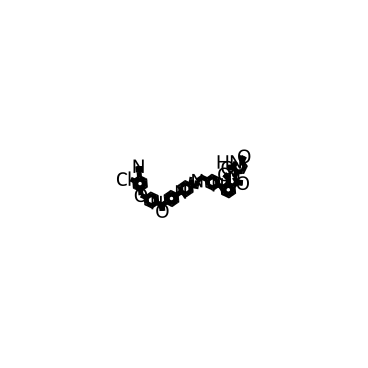 N#Cc1ccc(OC2CCN(C(=O)c3ccc(N4CCC5(CC4)CN(CC4CCN(c6cccc7c6C(=O)N(C6CCC(=O)NC6=O)C7=O)CC4)C5)cc3)CC2)cc1Cl